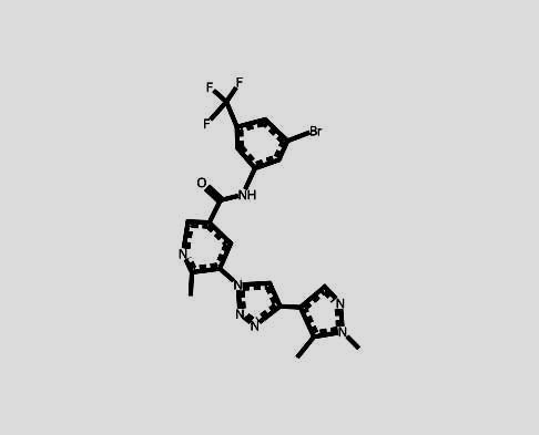 Cc1ncc(C(=O)Nc2cc(Br)cc(C(F)(F)F)c2)cc1-n1cc(-c2cnn(C)c2C)nn1